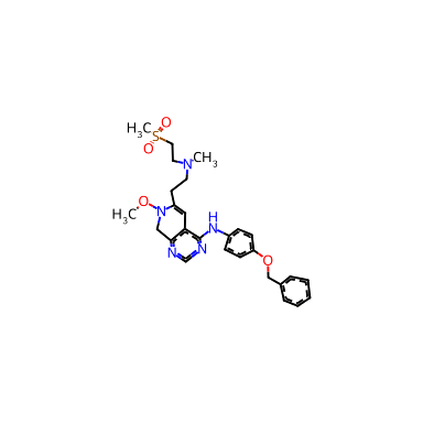 CON1Cc2ncnc(Nc3ccc(OCc4ccccc4)cc3)c2C=C1CCN(C)CCS(C)(=O)=O